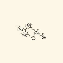 CC(C)(C)[Si](C)(C)OC1CC(O[Si](C)(C)C(C)(C)C)[C@H](CC[C@@H](CCc2ccccc2)O[Si](C)(C)C(C)(C)C)[C@H]1C/C=C\CCCC(=O)NCCC(=O)O